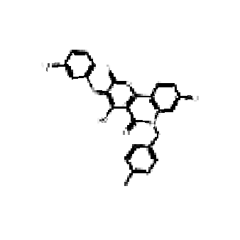 O=c1oc2c(c(O)c1Sc1cccc(C(F)(F)F)c1)c(=O)n(Cc1ccc(F)cc1)c1cc(Cl)ccc21